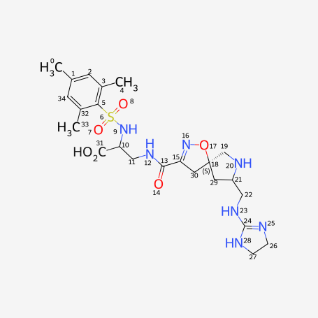 Cc1cc(C)c(S(=O)(=O)NC(CNC(=O)C2=NO[C@]3(CNC(CNC4=NCCN4)C3)C2)C(=O)O)c(C)c1